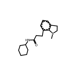 CB1CCc2cccc(CCC(=O)NC3CCCCC3)c21